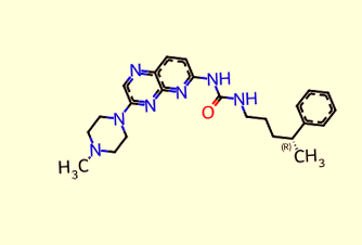 C[C@H](CCCNC(=O)Nc1ccc2ncc(N3CCN(C)CC3)nc2n1)c1ccccc1